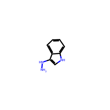 NNc1[c][nH]c2ccccc12